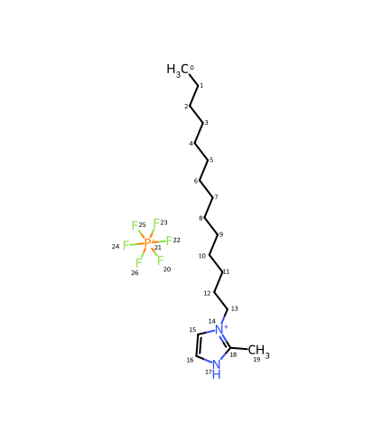 CCCCCCCCCCCCCC[n+]1cc[nH]c1C.F[P-](F)(F)(F)(F)F